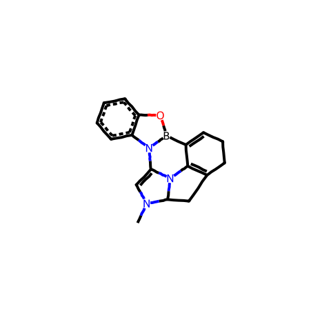 CN1C=C2N3B(Oc4ccccc43)C3=CCCC4=C3N2C1C4